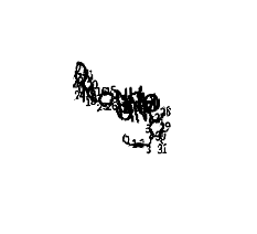 CC#CCc1cc(C(=O)NNC(=O)Nc2ccc(CN3CCOCC3)cc2)c(C)cc1C